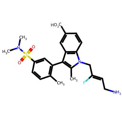 Cc1ccc(S(=O)(=O)N(C)C)cc1-c1c(C)n(CC(F)=CCN)c2ccc(C(=O)O)cc12